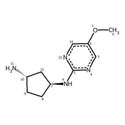 COc1cnc(N[C@H]2CC[C@H](N)C2)nc1